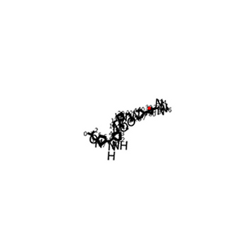 CC(C)Oc1ccc(C2NNc3ccc(N4CC[C@]5(CCN(CC(=O)N6CCC(C78CC(c9ncn(C)n9)(C7)C8)CC6)C5)C4=O)cc32)cn1